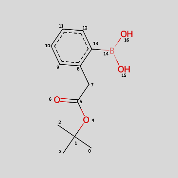 CC(C)(C)OC(=O)Cc1ccccc1B(O)O